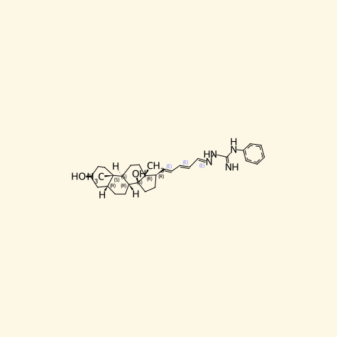 C[C@]12CC[C@H](O)C[C@H]1CC[C@@H]1[C@@H]2CC[C@]2(C)[C@@H](/C=C/C=C/C=N/NC(=N)Nc3ccccc3)CC[C@]12O